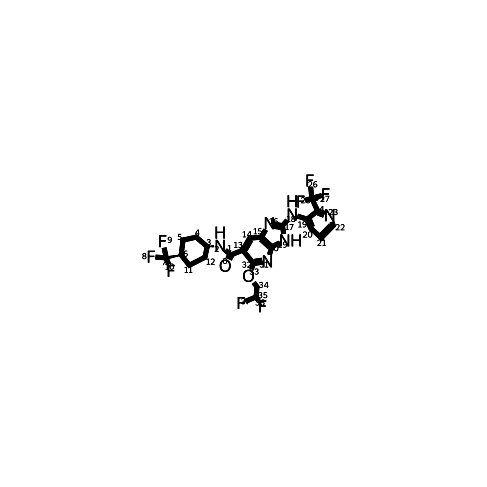 O=C(N[C@H]1CC[C@H](C(F)(F)F)CC1)c1cc2nc(Nc3cccnc3C(F)(F)F)[nH]c2nc1OCC(F)F